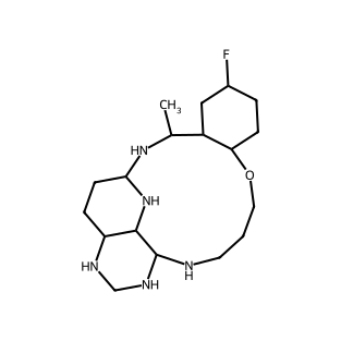 CC1NC2CCC3NCNC(NCCCOC4CCC(F)CC14)C3N2